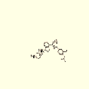 C=N/C=C(\SCc1ccc(CC(C)C)c(CC)c1)c1cccc2c1CCC2NCN1CCNCC1